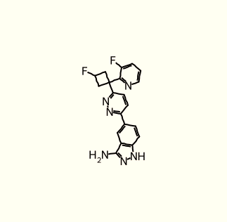 Nc1n[nH]c2ccc(-c3ccc(C4(c5ncccc5F)CC(F)C4)nn3)cc12